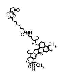 CC[C@@]1(O)C(=O)OCc2c1cc1n(c2=O)Cc2c-1nc1cc(F)c(C)c3c1c2[C@@H](NC(=O)CCCNC(=O)CCCCCCC(=O)ON1C(=O)CCC1=O)CC3